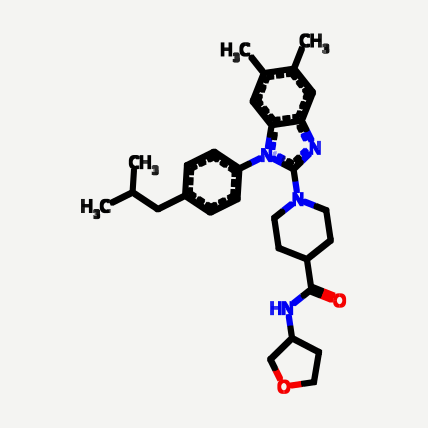 Cc1cc2nc(N3CCC(C(=O)NC4CCOC4)CC3)n(-c3ccc(CC(C)C)cc3)c2cc1C